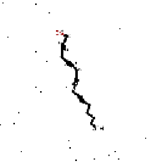 CCCCCC#CCC#CCC#CCC#CCBr